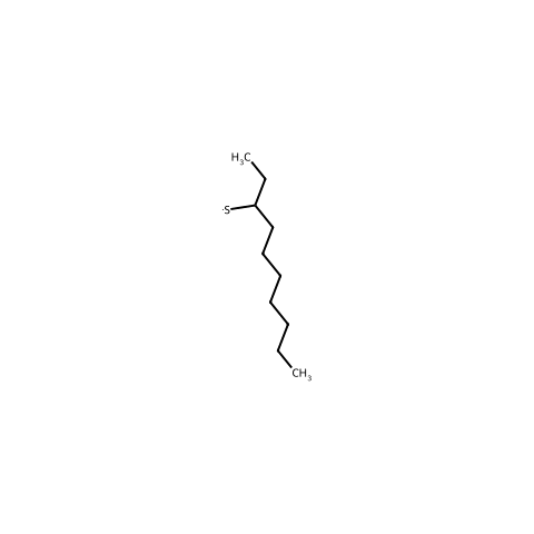 CCCCCCCC([S])CC